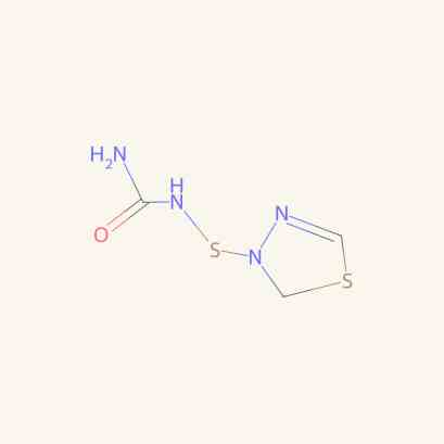 NC(=O)NSN1CSC=N1